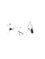 CC(C)(C)N/C(=N/C(=O)c1ccc(F)c(F)c1)NC(N)c1cccc(C(F)(F)F)c1N